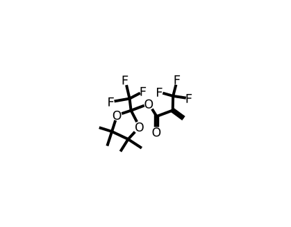 C=C(C(=O)OC1(C(F)(F)F)OC(C)(C)C(C)(C)O1)C(F)(F)F